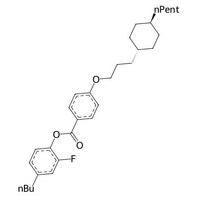 CCCCC[C@H]1CC[C@H](CCCOc2ccc(C(=O)Oc3ccc(CCCC)cc3F)cc2)CC1